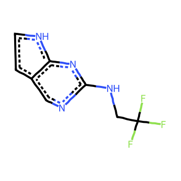 FC(F)(F)CNc1ncc2cc[nH]c2n1